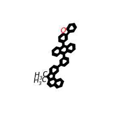 CC1(C)c2ccc(-c3cccc(-c4c5ccccc5c(-c5ccc6oc7ccccc7c6c5)c5ccccc45)c3)cc2-c2c1ccc1ccccc21